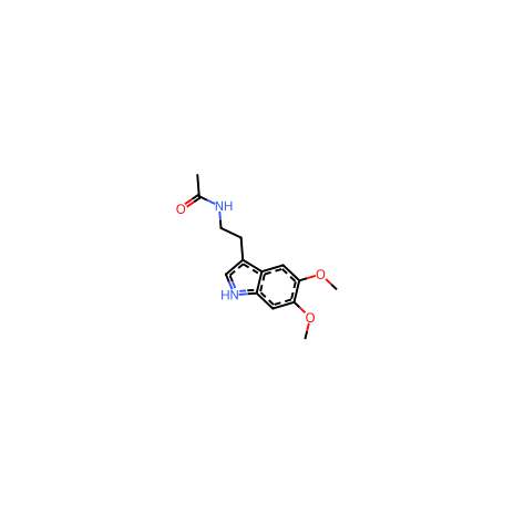 COc1cc2[nH]cc(CCNC(C)=O)c2cc1OC